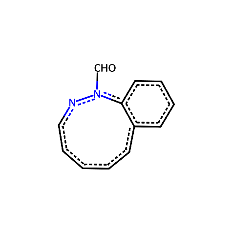 O=Cn1ncccccc2ccccc21